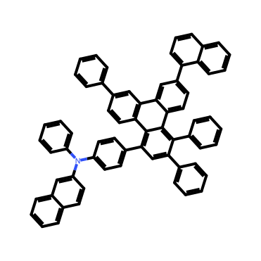 c1ccc(-c2ccc3c(c2)c2cc(-c4cccc5ccccc45)ccc2c2c(-c4ccccc4)c(-c4ccccc4)cc(-c4ccc(N(c5ccccc5)c5ccc6ccccc6c5)cc4)c32)cc1